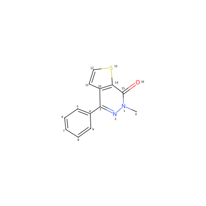 Cn1nc(-c2ccccc2)c2ccsc2c1=O